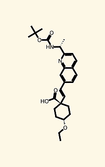 CCO[C@H]1CC[C@](/C=C/c2ccc3ccc([C@@H](C)NC(=O)OC(C)(C)C)nc3c2)(C(=O)O)CC1